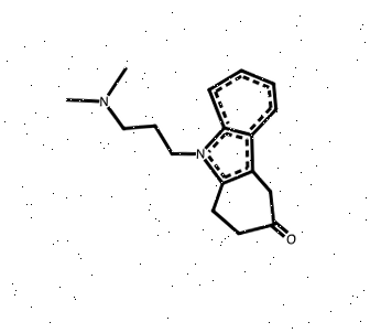 CN(C)CCCn1c2c(c3ccccc31)CC(=O)CC2